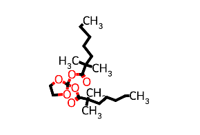 CCCCCC(C)(C)C(=O)OC1(OC(=O)C(C)(C)CCCCC)OCCO1